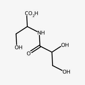 O=C(NC(CO)C(=O)O)C(O)CO